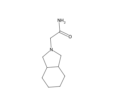 NC(=O)CN1CC2CCCCC2C1